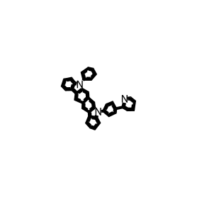 c1ccc(-n2c3ccccc3c3cc4cc5c6ccccc6n(-c6ccc(-c7ccccn7)cc6)c5cc4cc32)cc1